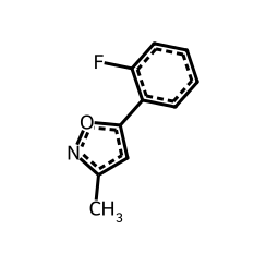 Cc1cc(-c2ccccc2F)on1